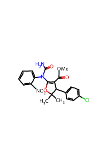 COC(=O)C1=C(N(C(N)=O)c2ccccc2[N+](=O)[O-])OC(C)(C)C1c1ccc(Cl)cc1